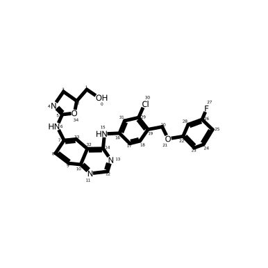 OCC1CN=C(Nc2ccc3ncnc(Nc4ccc(COc5cccc(F)c5)c(Cl)c4)c3c2)O1